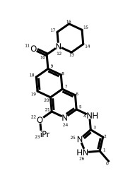 Cc1cc(Nc2cc3cc(C(=O)N4CCCCC4)ccc3c(OC(C)C)n2)n[nH]1